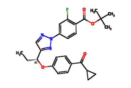 CC[C@@H](Oc1ccc(C(=O)C2CC2)cc1)c1cnn(-c2ccc(C(=O)OC(C)(C)C)c(F)c2)n1